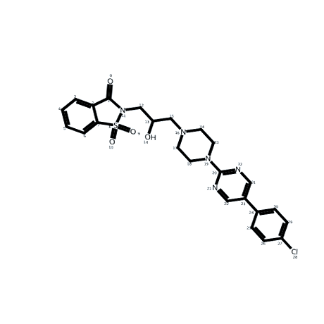 O=C1c2ccccc2S(=O)(=O)N1CC(O)CN1CCN(c2ncc(-c3ccc(Cl)cc3)cn2)CC1